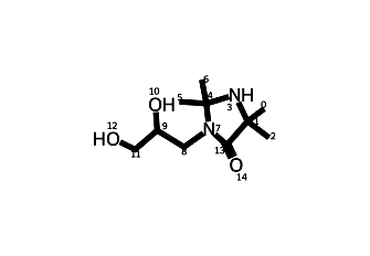 CC1(C)NC(C)(C)N(CC(O)CO)C1=O